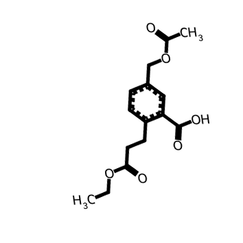 CCOC(=O)CCc1ccc(COC(C)=O)cc1C(=O)O